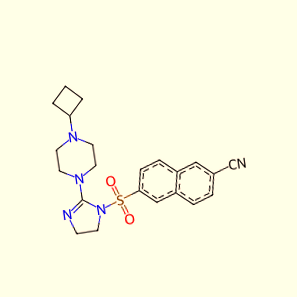 N#Cc1ccc2cc(S(=O)(=O)N3CCN=C3N3CCN(C4CCC4)CC3)ccc2c1